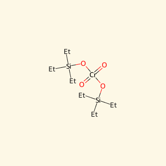 CC[Si](CC)(CC)[O][Cr](=[O])(=[O])[O][Si](CC)(CC)CC